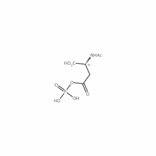 CC(=O)N[C@@H](CC(=O)OP(=O)(O)O)C(=O)O